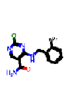 CCCc1ccccc1CNc1nc(Cl)ncc1C(N)=O